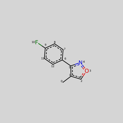 Cc1conc1-c1ccc(F)cc1